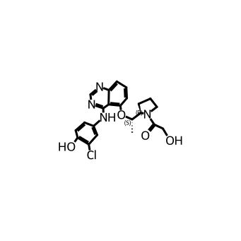 C[C@H](Oc1cccc2ncnc(Nc3ccc(O)c(Cl)c3)c12)[C@H]1CCCN1C(=O)CO